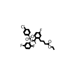 CCOC(=O)CCCc1cc(F)ccc1[C@@H](C)N(c1cc(F)ccc1F)S(=O)(=O)c1ccc(Cl)cc1